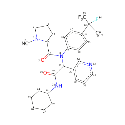 N#CN1CCCC1C(=O)N(c1ccc(C(F)(C(F)(F)F)C(F)(F)F)cc1)C(C(=O)NC1CCCCC1)c1cccnc1